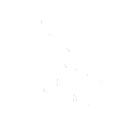 CC(=O)Cn1c(C(=O)NCc2ccc(C(F)(F)F)nc2)nc(NC(=O)c2nsc3ccccc23)c1C1C(=O)Nc2c(F)cc(Cl)cc21